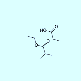 CCC(=O)O.CCOC(=O)C(C)C